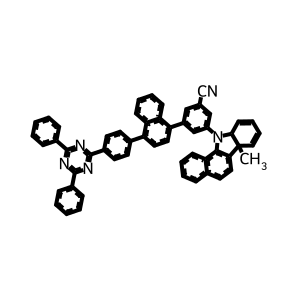 CC12C=CC=CC1N(c1cc(C#N)cc(-c3ccc(-c4ccc(-c5nc(-c6ccccc6)nc(-c6ccccc6)n5)cc4)c4ccccc34)c1)c1c2ccc2ccccc12